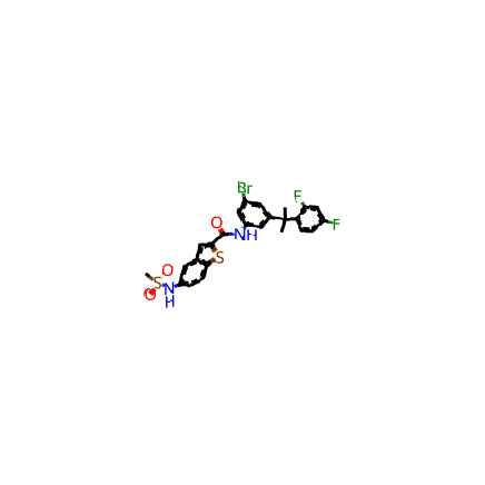 CC(C)(c1cc(Br)cc(NC(=O)c2cc3cc(NS(C)(=O)=O)ccc3s2)c1)c1ccc(F)cc1F